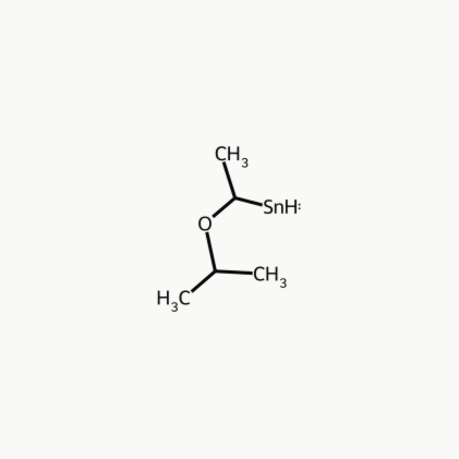 CC(C)O[CH](C)[SnH]